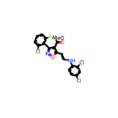 COC(=O)c1c(-c2c(F)cccc2Cl)noc1C=CNc1ccc(Cl)cc1Cl